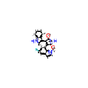 Cn1ccc2cc(F)cc(C3=C(c4c[nH]c5ccccc45)C(=O)NC3=O)c21